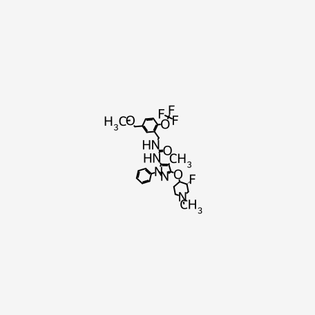 COCc1ccc(OC(F)(F)F)c(CNC(=O)Nc2c(C)c(OC3CCN(C)C[C@H]3F)nn2-c2ccccc2)c1